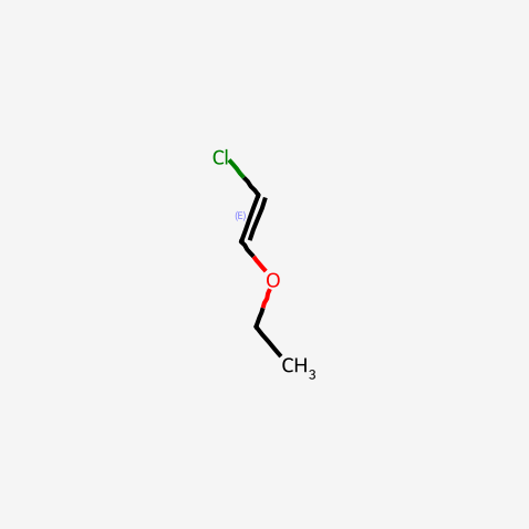 CCO/C=C/Cl